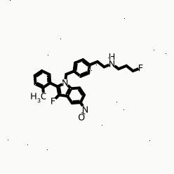 Cc1ccccc1-c1c(F)c2cc(N=O)ccc2n1Cc1ccc(CCNCCCF)cc1